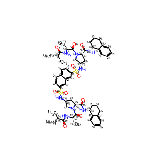 CN[C@@H](C)C(=O)N[C@H](C(=O)N1C[C@@H](NS(=O)(=O)c2ccc3ccc(S(=O)(=O)N[C@H]4C[C@@H](C(=O)N[C@@H]5CCCc6ccccc65)N(C(=O)[C@@H](NC(=O)[C@H](C)NC)C(C)(C)C)C4)cc3c2)C[C@H]1C(=O)N[C@@H]1CCCc2ccccc21)C(C)(C)C